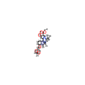 CCOC(=O)c1cn2c(cc1=O)/C(=c1\cccc(OCC3COC(C)(C)O3)\c1=C(/C)CC)N(C)CC2C(C)(C)C